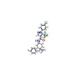 Cc1ccc(CC2(N(C)C)CCC(NC(=O)c3cnn(-c4ccc(Cl)cc4)c3C(F)(F)F)CC2)cc1